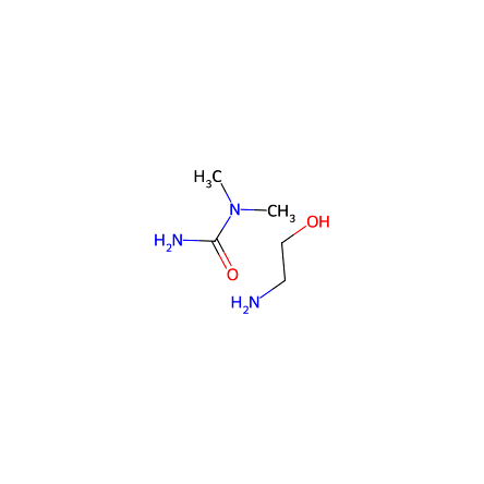 CN(C)C(N)=O.NCCO